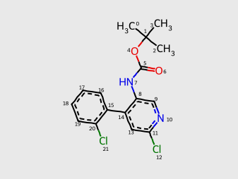 CC(C)(C)OC(=O)Nc1cnc(Cl)cc1-c1ccccc1Cl